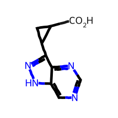 O=C(O)C1CC1c1n[nH]c2cncnc12